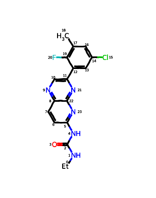 CCNC(=O)Nc1ccc2ncc(-c3cc(Cl)cc(C)c3F)nc2n1